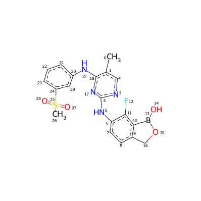 Cc1cnc(Nc2ccc3c(c2F)B(O)OC3)nc1Nc1cccc(S(C)(=O)=O)c1